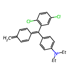 C=c1ccc(=C(c2ccc(N(CC)CC)cc2)c2cc(Cl)ccc2Cl)cc1